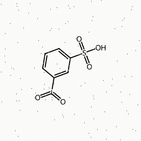 O=I(=O)c1cccc(S(=O)(=O)O)c1